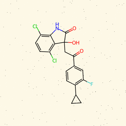 O=C(CC1(O)C(=O)Nc2c(Cl)ccc(Cl)c21)c1ccc(C2CC2)c(F)c1